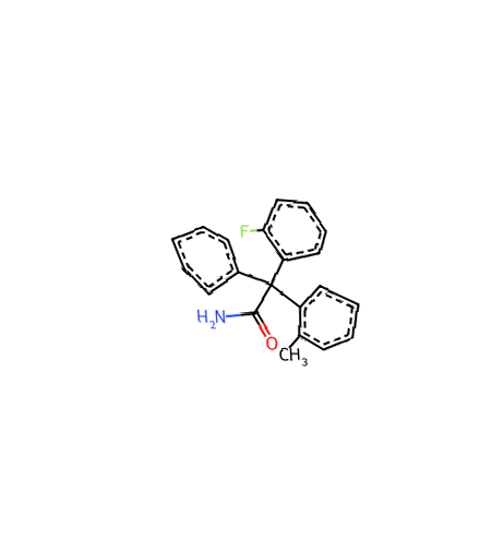 Cc1ccccc1C(C(N)=O)(c1ccccc1)c1ccccc1F